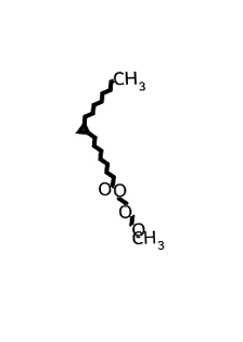 CCCCCCCCC1CC1CCCCCCCC(=O)OCCOCCOC